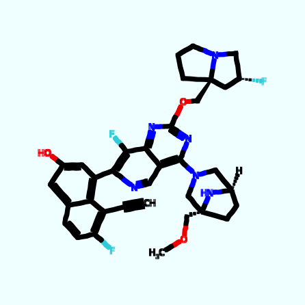 C#Cc1c(F)ccc2cc(O)cc(-c3ncc4c(N5C[C@H]6CC[C@@](COC)(C5)N6)nc(OC[C@@]56CCCN5C[C@H](F)C6)nc4c3F)c12